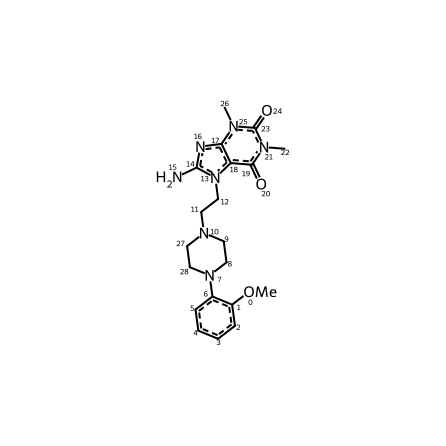 COc1ccccc1N1CCN(CCn2c(N)nc3c2c(=O)n(C)c(=O)n3C)CC1